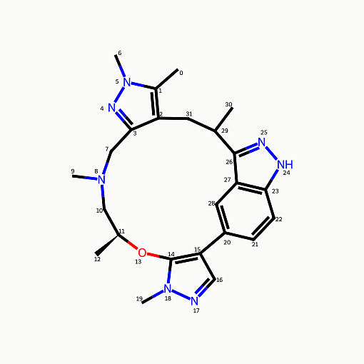 Cc1c2c(nn1C)CN(C)C[C@H](C)Oc1c(cnn1C)-c1ccc3[nH]nc(c3c1)C(C)C2